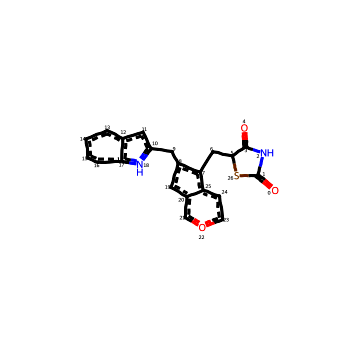 O=C1NC(=O)C(Cc2c(Cc3cc4ccccc4[nH]3)cc3coccc2-3)S1